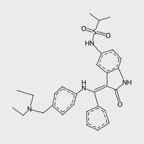 CCN(CC)Cc1ccc(NC(=C2C(=O)Nc3ccc(NS(=O)(=O)C(C)C)cc32)c2ccccc2)cc1